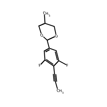 CC#Cc1c(F)cc(C2OCC(C)CO2)cc1F